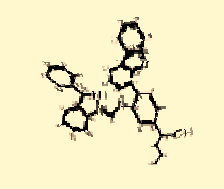 CCCC(O)C1=CC2C(C=C1)c1c(ccc3c1oc1ccccc13)N2CN1NC(C2=CC=CCC2)c2ccccc21